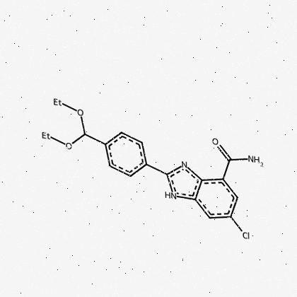 CCOC(OCC)c1ccc(-c2nc3c(C(N)=O)cc(Cl)cc3[nH]2)cc1